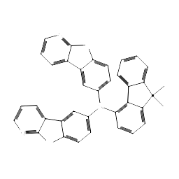 CC1(C)c2ccccc2-c2c(N(c3ccc4oc5ncccc5c4c3)c3ccc4oc5ncccc5c4c3)cccc21